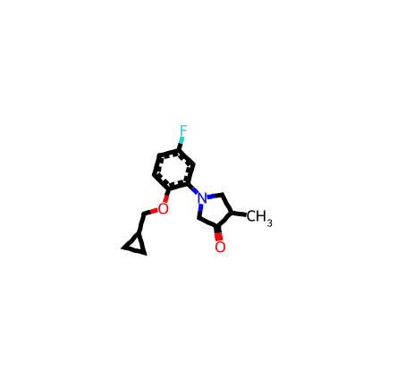 CC1CN(c2cc(F)ccc2OCC2CC2)CC1=O